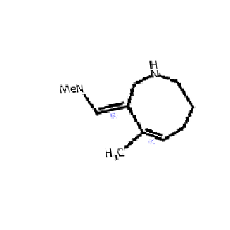 CN/C=C1CNCCC/C=C\1C